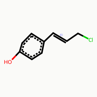 Oc1ccc(/C=C/CCl)cc1